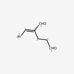 CC(C)C=C(C=O)CCC=O